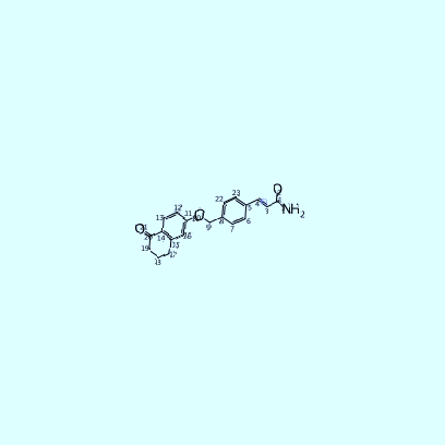 NC(=O)/C=C/c1ccc(COc2ccc3c(c2)CCCC3=O)cc1